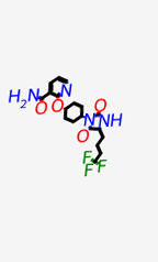 NC(=O)c1cccnc1O[C@H]1CC[C@H](N2C(=O)NC(CCCC(F)(F)F)C2=O)CC1